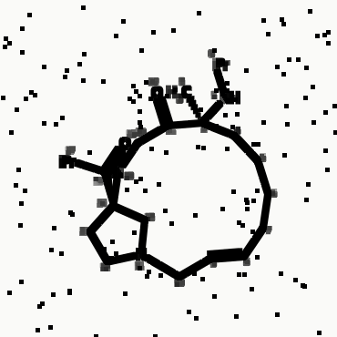 CC(C)N[C@@]1(C)CCCC/C=C/CN2CC[C@@](C(=O)C(C)C)(C2)NCC1=O